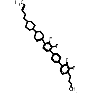 C/C=C/CCC1CCC(C2CC=C(c3ccc(-c4ccc(-c5ccc(CCCC)c(F)c5F)cc4)c(F)c3F)CC2)CC1